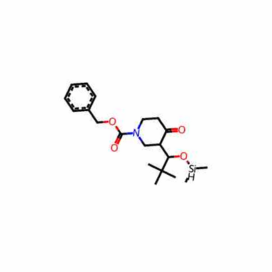 C[SiH](C)OC(C1CN(C(=O)OCc2ccccc2)CCC1=O)C(C)(C)C